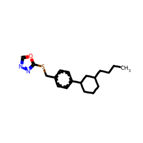 CCCCC1CCCC(c2ccc(CSc3nn[c]o3)cc2)C1